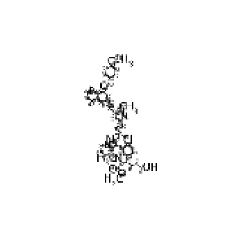 COC(=O)c1c(CCCO)c2ccc(Cl)c(-c3c(CSCc4cc(CSc5cc(OCc6ccc(OC)cc6)c6ncccc6c5)n(C)n4)nn4c3CCCC4)c2n1C